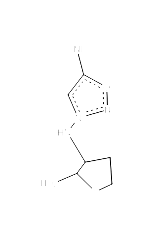 CC1SCCC1N[n+]1cc([NH-])on1